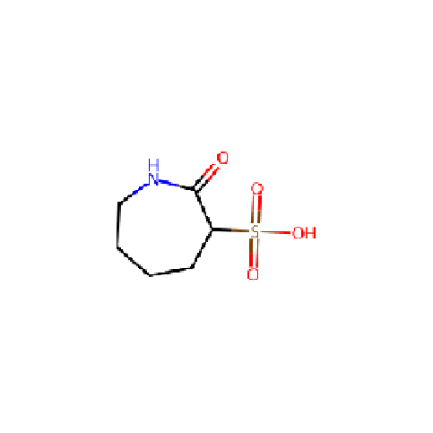 O=C1NCCCCC1S(=O)(=O)O